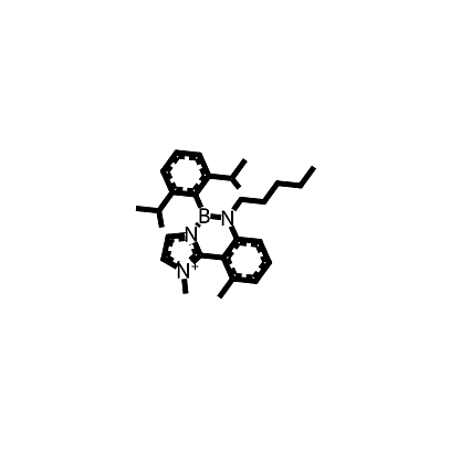 CCCCCN1B(c2c(C(C)C)cccc2C(C)C)n2cc[n+](C)c2-c2c(C)cccc21